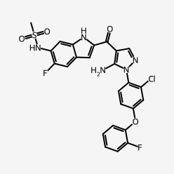 CS(=O)(=O)Nc1cc2[nH]c(C(=O)c3cnn(-c4ccc(Oc5ccccc5F)cc4Cl)c3N)cc2cc1F